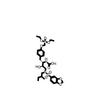 CCOP(=O)(COc1ccc(C[C@H](NC(=O)O)[C@H](O)CN(CC(C)CC)S(=O)(=O)c2ccc3c(c2)OCO3)cc1)OCC